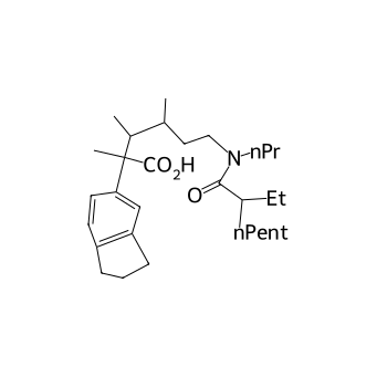 CCCCCC(CC)C(=O)N(CCC)CCC(C)C(C)C(C)(C(=O)O)c1ccc2c(c1)CCC2